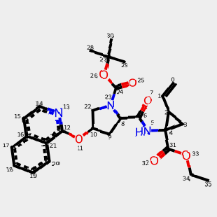 C=CC1CC1(NC(=O)C1CC(Oc2nccc3ccccc23)CN1C(=O)OC(C)(C)C)C(=O)OCC